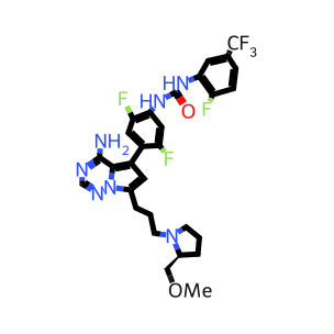 COC[C@@H]1CCCN1CCCc1cc(-c2cc(F)c(NC(=O)Nc3cc(C(F)(F)F)ccc3F)cc2F)c2c(N)ncnn12